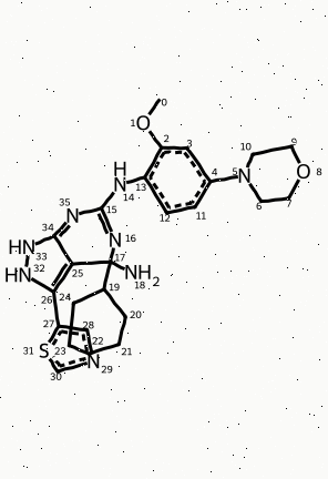 COc1cc(N2CCOCC2)ccc1NC1=NC(N)(C2CCCCC2)C2=C(c3cncs3)NNC2=N1